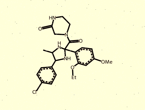 CCOc1cc(OC)ccc1C1(C(=O)N2CCNC(=O)C2)NC(C)C(c2ccc(Cl)cc2)N1